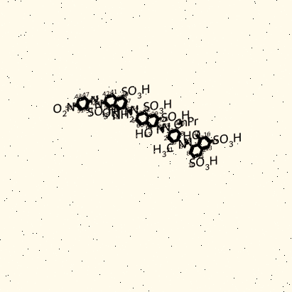 CCCOc1cc(N=Nc2cc(S(=O)(=O)O)cc3cc(S(=O)(=O)O)cc(O)c23)c(C)cc1N=Nc1c(S(=O)(=O)O)cc2c(S(=O)(=O)O)c(N=Nc3cc(S(=O)(=O)O)c4ccc(N=Nc5ccc([N+](=O)[O-])cc5S(=O)(=O)O)c(O)c4c3N)ccc2c1O